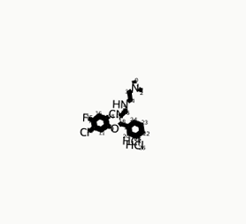 CN(C)CCNCC[C@@H](Oc1cc(Cl)c(F)cc1C#N)c1ccccc1.Cl.Cl